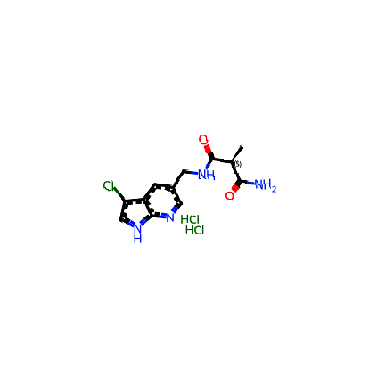 C[C@@H](C(N)=O)C(=O)NCc1cnc2[nH]cc(Cl)c2c1.Cl.Cl